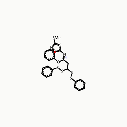 CSc1ncc(/N=C(/CC(SSc2ccccc2)SSc2ccccc2)Oc2ccccc2)s1